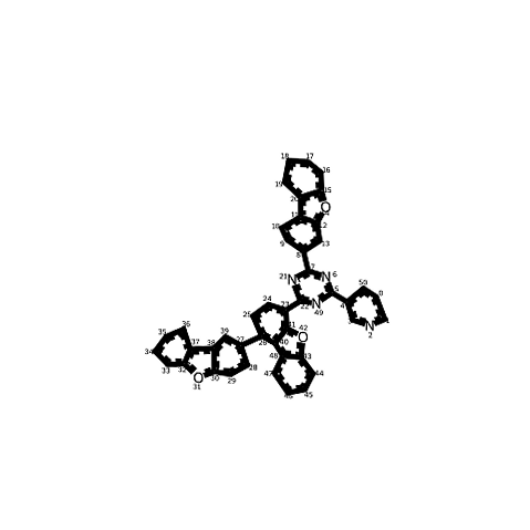 c1cncc(-c2nc(-c3ccc4c(c3)oc3ccccc34)nc(-c3ccc(-c4ccc5oc6ccccc6c5c4)c4c3oc3ccccc34)n2)c1